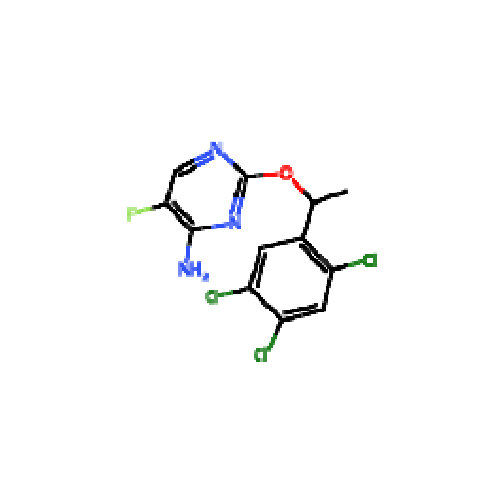 CC(Oc1ncc(F)c(N)n1)c1cc(Cl)c(Cl)cc1Cl